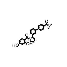 CN(C)C(=O)c1ccc(-c2cccc(C3CCCN3C(=O)c3ccc(O)cc3O)c2)cc1